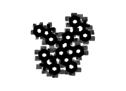 CC1(C)c2ccccc2-c2ccc(-c3c4cc(N5c6ccccc6C(C)(C)c6ccccc65)ccc4c(-c4ccccc4-c4cccc5ccccc45)c4cc(N5c6ccccc6C(C)(C)c6ccccc65)ccc34)cc21